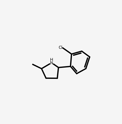 CC1CCC(c2ccccc2Cl)N1